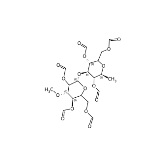 CO[C@@H]1C(OC=O)[C@H](O[C@@H]2C(OC=O)[C@H](C)OC(COC=O)[C@H]2OC=O)OC(COC=O)[C@H]1OC=O